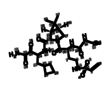 C=CS(=O)(=O)NCC[C@H](NC(=O)NC(C)(C)C)C(=O)N1C[C@H]2[C@@H]([C@H]1C(=O)NC(CC1CCC1)C(=O)C(N)=O)C2(C)C